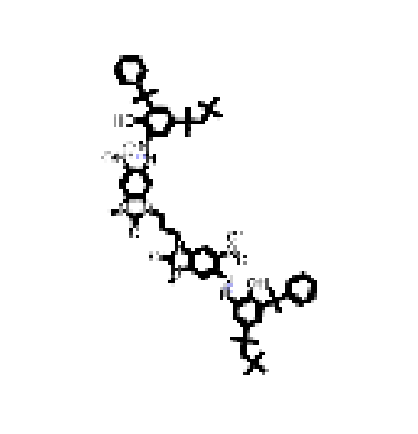 Cn1c(=O)n(CCCn2c(=O)n(C)c3cc(/N=N/c4cc(C(C)(C)CC(C)(C)C)cc(C(C)(C)c5ccccc5)c4O)c([N+](=O)[O-])cc32)c2cc(/N=N/c3cc(C(C)(C)CC(C)(C)C)cc(C(C)(C)c4ccccc4)c3O)c([N+](=O)[O-])cc21